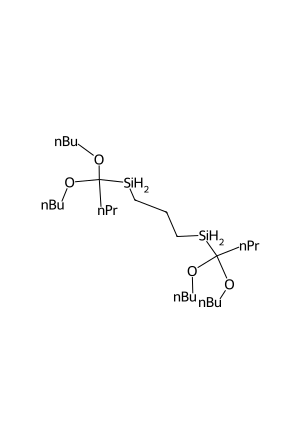 CCCCOC(CCC)(OCCCC)[SiH2]CCC[SiH2]C(CCC)(OCCCC)OCCCC